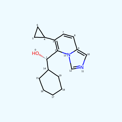 O[C@H](c1c(C2CC2)ccc2cncn12)C1CCCCC1